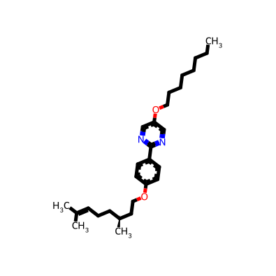 CCCCCCCCOc1cnc(-c2ccc(OCC[C@@H](C)CCC=C(C)C)cc2)nc1